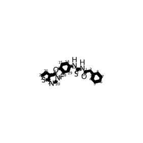 O=C(Cc1ccccc1)NC(=S)Nc1ccc(Oc2ncnc3sccc23)c(F)c1